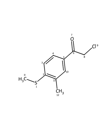 CSc1ccc(C(=O)CCl)cc1C